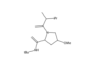 C=C(NC(C)(C)C)C1CC(OC)CN1C(=C)C(C)C(C)C